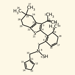 C=C(C)c1c(C2=C(CN(S)CC3=CCC=C3)C=CCC2C)sc2c1CC(C)(C)CC2